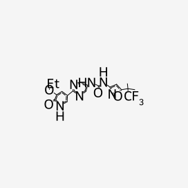 CCOc1cc(-c2ncc(NC(=O)Nc3cc(C(C)(C)C(F)(F)F)on3)cn2)c[nH]c1=O